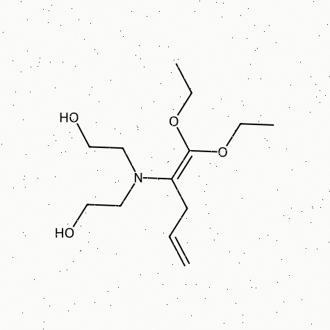 C=CCC(=C(OCC)OCC)N(CCO)CCO